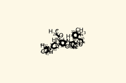 C=CC(=O)Nc1cc(Nc2cc(N3OCC[C@@H]3c3cccc(C)c3F)ncn2)c(OC)cc1N1CCC(N2C[C@@H]3C[C@H]2CO3)CC1